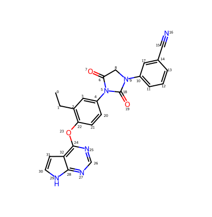 CCc1cc(N2C(=O)CN(c3cccc(C#N)c3)C2=O)ccc1Oc1ncnc2[nH]ccc12